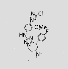 COc1cc(Nc2nc3n(n2)CCC(N(C)C)CC3c2ccc(F)cc2)ccc1-n1cnc(Cl)c1